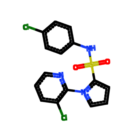 O=S(=O)(Nc1ccc(Cl)cc1)c1cccn1-c1ncccc1Cl